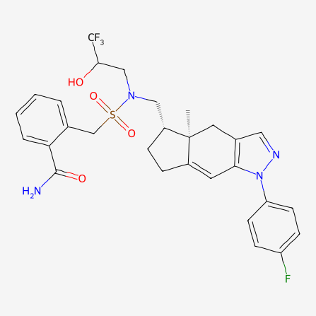 C[C@]12Cc3cnn(-c4ccc(F)cc4)c3C=C1CC[C@@H]2CN(CC(O)C(F)(F)F)S(=O)(=O)Cc1ccccc1C(N)=O